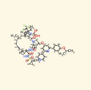 CC(C)Oc1ccc(-c2cc(O[C@@H]3C[C@H]4C(=O)N[C@]5(C(=O)NS(=O)(=O)C6(C)CC6)C[C@H]5/C=C\CC[C@H](C)C[C@@H](C)[C@H](N(C(=O)O)C(C)(C)C(F)(F)F)C(=O)N4C3)cc(-c3ccncc3)n2)cc1